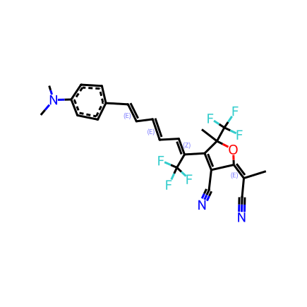 C/C(C#N)=C1\OC(C)(C(F)(F)F)C(C(=C/C=C/C=C/c2ccc(N(C)C)cc2)/C(F)(F)F)=C1C#N